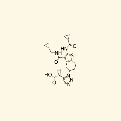 O=C(O)Nc1cnnn1C1CCc2sc(NC(=O)C3CC3)c(C(=O)NCC3CC3)c2C1